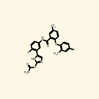 Cc1cc(F)ccc1Oc1ccc(C(F)(F)F)cc1C(=O)Nc1ccc(F)c(-c2cnc(OC(N)=O)[nH]2)c1